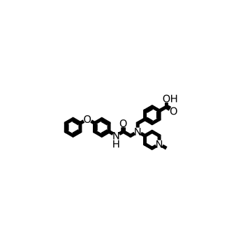 CN1CCC(N(CC(=O)Nc2ccc(Oc3ccccc3)cc2)Cc2ccc(C(=O)O)cc2)CC1